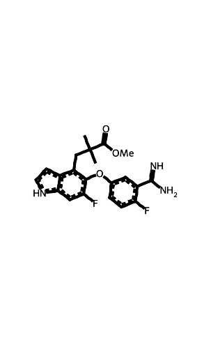 COC(=O)C(C)(C)Cc1c(Oc2ccc(F)c(C(=N)N)c2)c(F)cc2[nH]ccc12